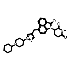 O=C1CCC(N2C(=O)c3cccc4c(Cc5cnn(C6CCN(C7CCCCC7)CC6)c5)ccc2c34)C(=O)N1